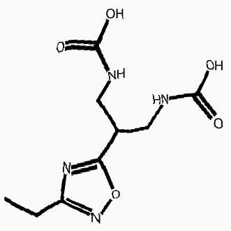 CCc1noc(C(CNC(=O)O)CNC(=O)O)n1